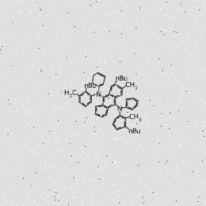 CCCCc1cc2c(N(C3=CC=CCC3)c3cccc(C)c3CCCC)c3ccccc3c(N(c3ccccc3)c3cccc(CCCC)c3C)c2cc1C